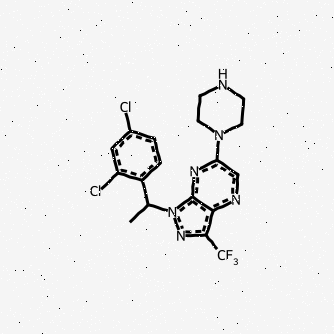 CC(c1ccc(Cl)cc1Cl)n1nc(C(F)(F)F)c2ncc(N3CCNCC3)nc21